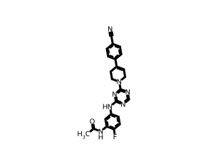 CC(=O)Nc1cc(Nc2ncnc(N3CC=C(c4ccc(C#N)cc4)CC3)n2)ccc1F